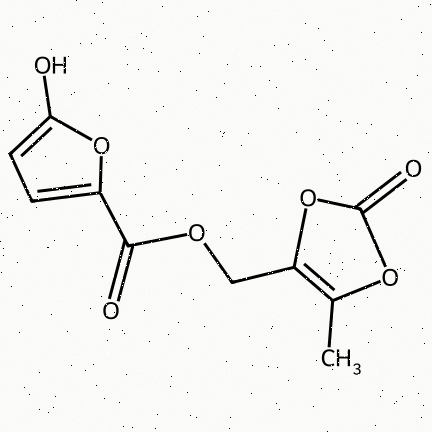 Cc1oc(=O)oc1COC(=O)c1ccc(O)o1